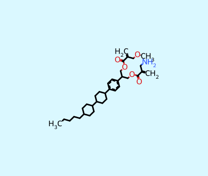 C=C(CN)C(=O)OCC(COC(=O)C(=C)COC)c1ccc(C2CCC(C3CCC(CCCCC)CC3)CC2)cc1